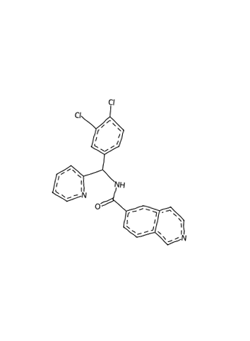 O=C(NC(c1ccc(Cl)c(Cl)c1)c1ccccn1)c1ccc2cnccc2c1